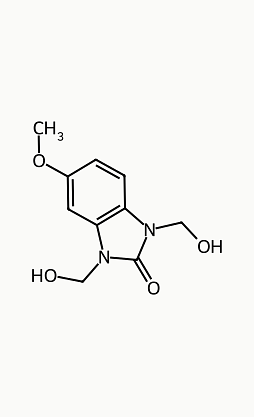 COc1ccc2c(c1)n(CO)c(=O)n2CO